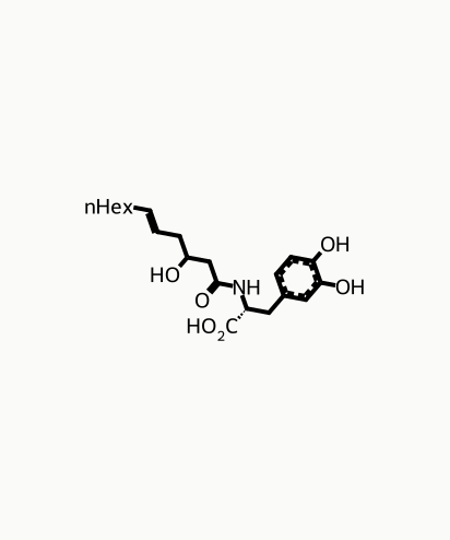 CCCCCCC=CCC(O)CC(=O)N[C@H](Cc1ccc(O)c(O)c1)C(=O)O